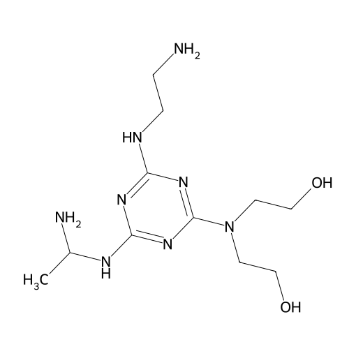 CC(N)Nc1nc(NCCN)nc(N(CCO)CCO)n1